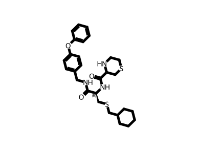 O=C(N[C@@H](CSCC1CCCCC1)C(=O)NCc1ccc(Oc2ccccc2)cc1)C1CSCCN1